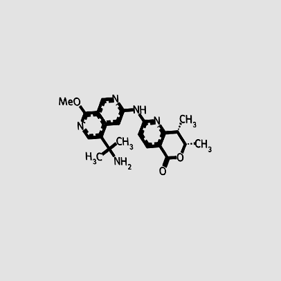 COc1ncc(C(C)(C)N)c2cc(Nc3ccc4c(n3)[C@H](C)[C@H](C)OC4=O)ncc12